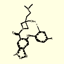 CN(C)CCC1(O)CN(C(=O)c2cc3c(cc2Nc2ccc(I)cc2F)nnn3C)C1